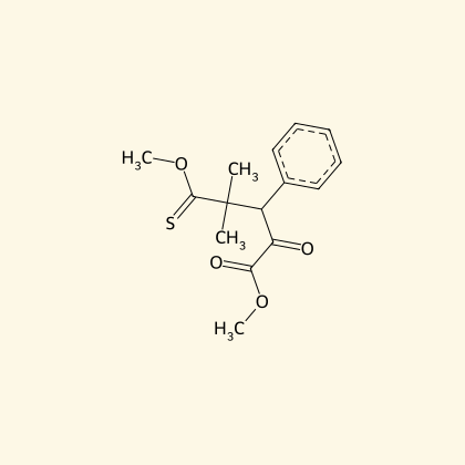 COC(=O)C(=O)C(c1ccccc1)C(C)(C)C(=S)OC